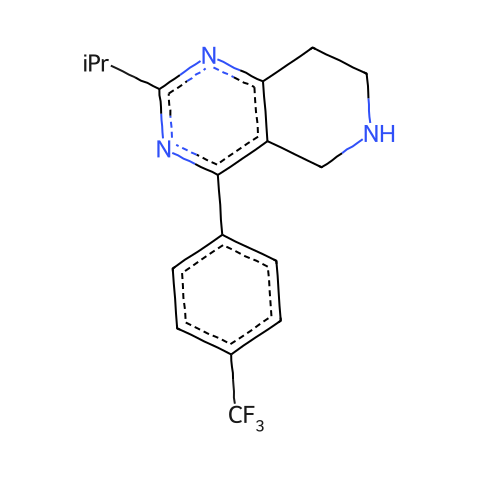 CC(C)c1nc2c(c(-c3ccc(C(F)(F)F)cc3)n1)CNCC2